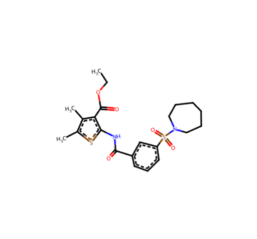 CCOC(=O)c1c(NC(=O)c2cccc(S(=O)(=O)N3CCCCCC3)c2)sc(C)c1C